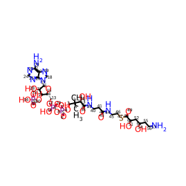 CC(C)(COP(=O)(O)OP(=O)(O)OC[C@H]1O[C@@H](n2cnc3c(N)ncnc32)[C@H](O)[C@@H]1OP(=O)(O)O)[C@@H](O)C(=O)NCCC(=O)NCCSC(=O)C(O)CC(O)CCN